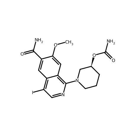 COc1cc2c(N3CCC[C@H](OC(N)=O)C3)ncc(I)c2cc1C(N)=O